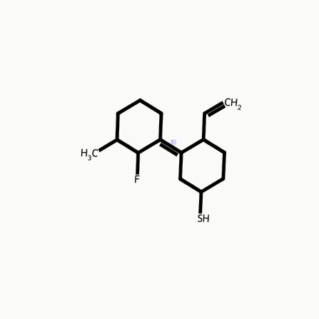 C=CC1CCC(S)C/C1=C1/CCCC(C)C1F